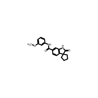 COc1cccc(NC(=O)c2ccc3c(c2)NC(=O)C32CCCC2)c1